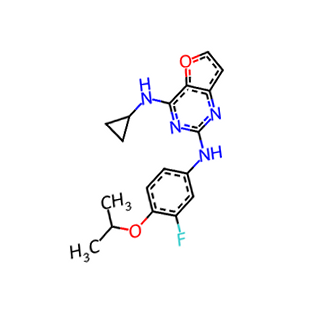 CC(C)Oc1ccc(Nc2nc(NC3CC3)c3occc3n2)cc1F